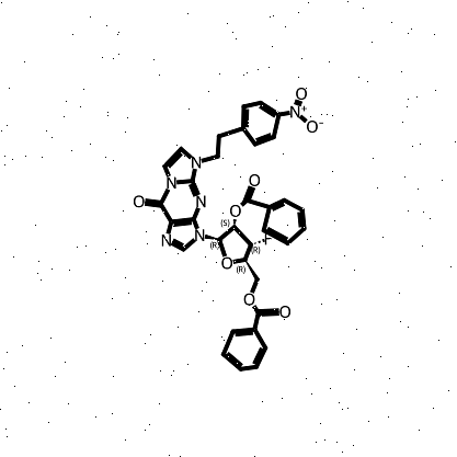 O=C(OC[C@H]1O[C@@H](n2cnc3c(=O)n4ccn(CCc5ccc([N+](=O)[O-])cc5)c4nc32)[C@H](OC(=O)c2ccccc2)[C@@H]1F)c1ccccc1